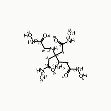 NC(CC(=O)NO)C(CC(=O)NO)(CC(=O)NO)NCC(=O)NO